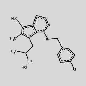 Cc1c(C)n(CC(C)C)c2c(NCc3ccc(Cl)cc3)nccc12.Cl